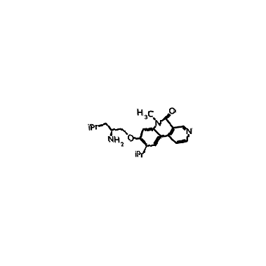 CC(C)C[C@H](N)COc1cc2c(cc1C(C)C)c1ccncc1c(=O)n2C